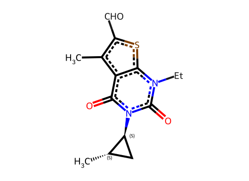 CCn1c(=O)n([C@H]2C[C@@H]2C)c(=O)c2c(C)c(C=O)sc21